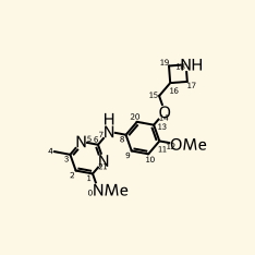 CNc1cc(C)nc(Nc2ccc(OC)c(OCC3CNC3)c2)n1